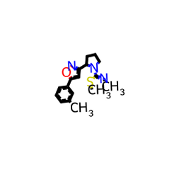 CN=C(SC)N1CCCC1c1cc(-c2cccc(C)c2)on1